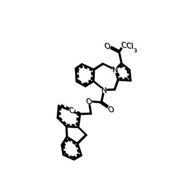 O=C(OCc1cccc2c1Cc1ccccc1-2)N1Cc2ccc(C(=O)C(Cl)(Cl)Cl)n2Cc2ccccc21